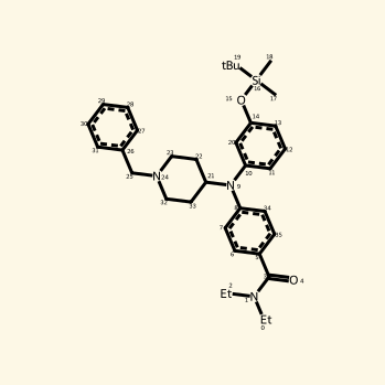 CCN(CC)C(=O)c1ccc(N(c2cccc(O[Si](C)(C)C(C)(C)C)c2)C2CCN(Cc3ccccc3)CC2)cc1